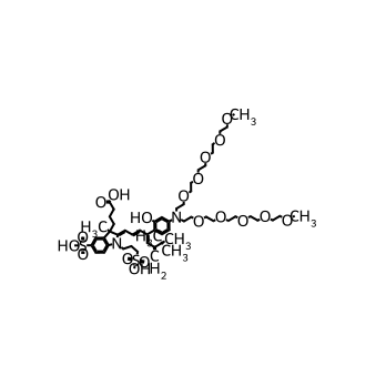 C=C(/C=C(/C=C/C=C1\N(CCCS(=O)(=O)O)c2ccc(S(=O)(=O)O)cc2C1(C)CCCC(=O)O)c1ccc(N(CCOCCOCCOCCOCCOC)CCOCCOCCOCCOCCOC)cc1O)C(C)(C)C